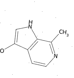 Cc1nccc2c(O)c[nH]c12